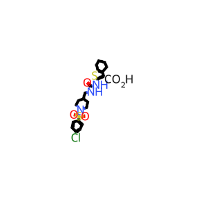 O=C(NCC1CCN(S(=O)(=O)c2ccc(Cl)cc2)CC1)Nc1sc2c(c1C(=O)O)CCCC2